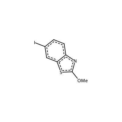 COc1nc2ccc(I)cc2s1